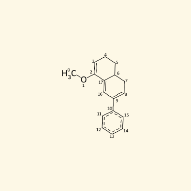 COC1=CCCC2CC=C(c3ccccc3)C=C12